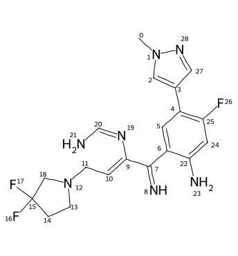 Cn1cc(-c2cc(C(=N)C(=C/CN3CCC(F)(F)C3)/N=C\N)c(N)cc2F)cn1